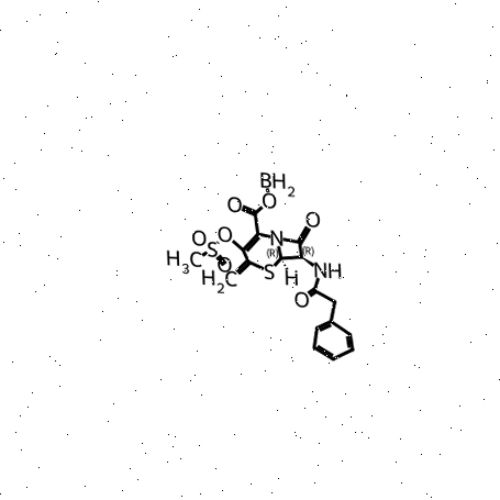 BOC(=O)C1=C(OS(C)(=O)=O)C(=C)S[C@@H]2[C@H](NC(=O)Cc3ccccc3)C(=O)N12